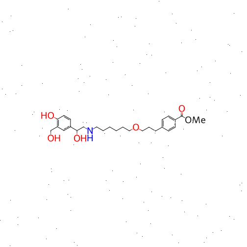 COC(=O)c1ccc(CCCOCCCCCCNCC(O)c2ccc(O)c(CO)c2)cc1